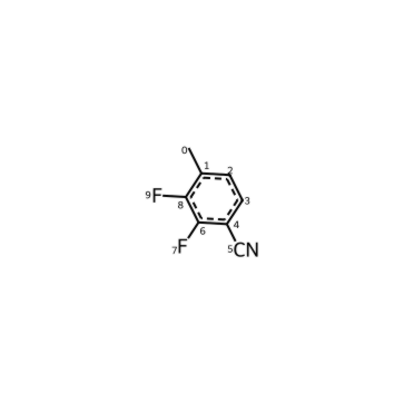 Cc1ccc(C#N)c(F)c1F